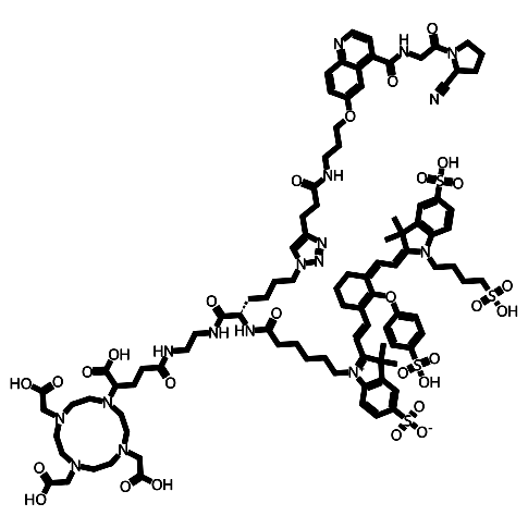 CC1(C)C(=CC=C2CCCC(C=CC3=[N+](CCCCCC(=O)N[C@@H](CCCCn4cc(CCC(=O)NCCCOc5ccc6nccc(C(=O)NCC(=O)N7CCCC7C#N)c6c5)nn4)C(=O)NCCNC(=O)CCC(C(=O)O)N4CCN(CC(=O)O)CCN(CC(=O)O)CCN(CC(=O)O)CC4)c4ccc(S(=O)(=O)[O-])cc4C3(C)C)=C2Oc2ccc(S(=O)(=O)O)cc2)N(CCCCS(=O)(=O)O)c2ccc(S(=O)(=O)O)cc21